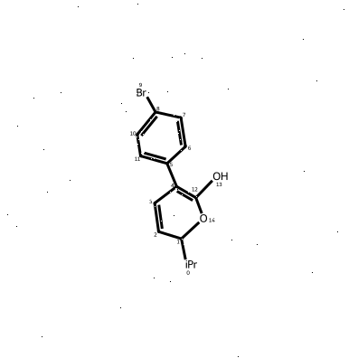 CC(C)C1C=CC(c2ccc(Br)cc2)=C(O)O1